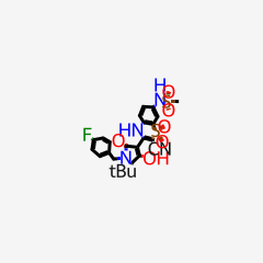 CC(C)(C)C1C(O)=C(C2=C(C#N)S(=O)(=O)c3cc(NS(C)(=O)=O)ccc3N2)C(=O)N1Cc1ccc(F)cc1